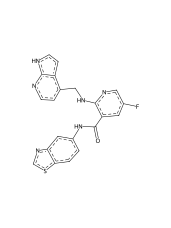 O=C(Nc1ccc2scnc2c1)c1cc(F)cnc1NCc1ccnc2[nH]ccc12